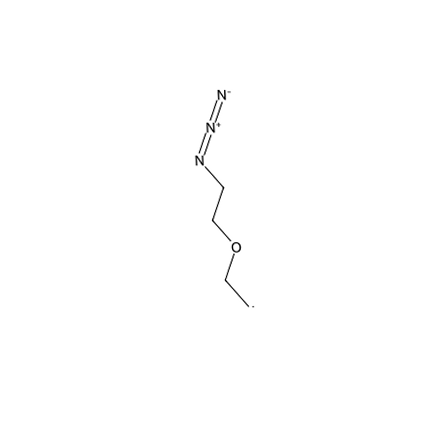 [CH2]COCCN=[N+]=[N-]